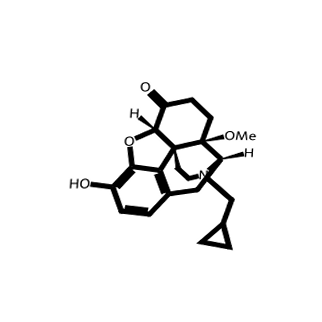 CO[C@]12CCC(=O)[C@H]3Oc4c(O)ccc5c4[C@]31CCN(CC1CC1)[C@H]2C5